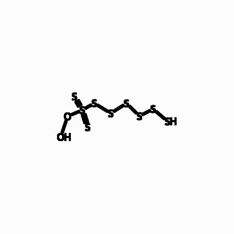 OOS(=S)(=S)SSSSSS